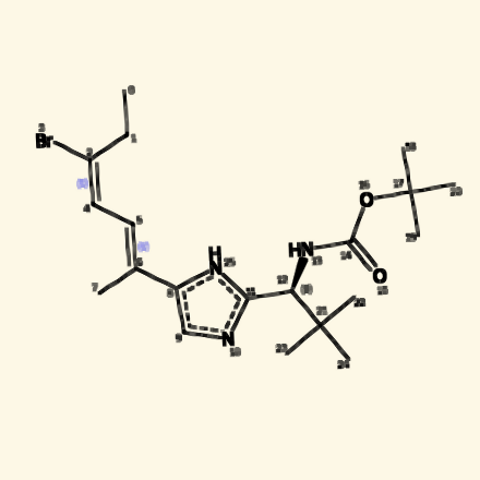 CC/C(Br)=C\C=C(/C)c1cnc([C@@H](NC(=O)OC(C)(C)C)C(C)(C)C)[nH]1